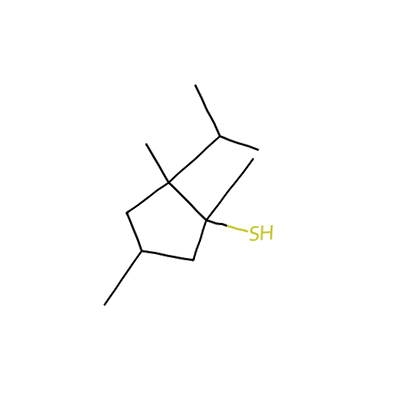 CC1CC(C)(S)C(C)(C(C)C)C1